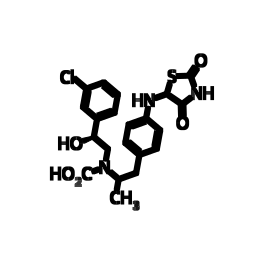 CC(Cc1ccc(NC2SC(=O)NC2=O)cc1)N(C[C@@H](O)c1cccc(Cl)c1)C(=O)O